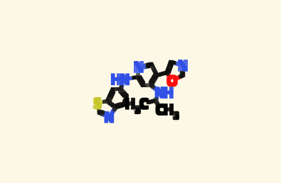 CC(C)Nc1cc(Nc2ccc3ncsc3c2)ncc1-c1cnco1